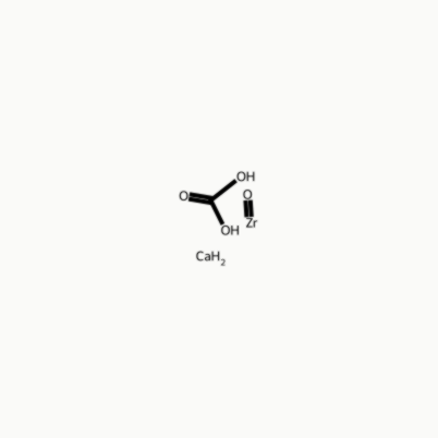 O=C(O)O.[CaH2].[O]=[Zr]